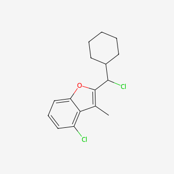 Cc1c(C(Cl)C2CCCCC2)oc2cccc(Cl)c12